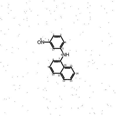 O=Nc1cccc(Nc2cccc3ccccc23)c1